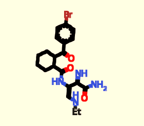 CCN/C=C(/NC(=O)C1CCCCC1C(=O)c1ccc(Br)cc1)C(=N)C(N)=O